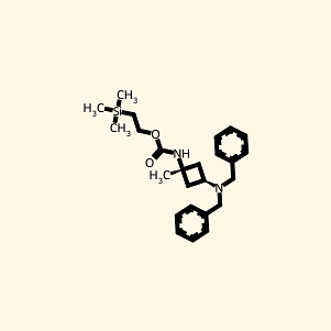 C[Si](C)(C)CCOC(=O)N[C@]1(C)C[C@@H](N(Cc2ccccc2)Cc2ccccc2)C1